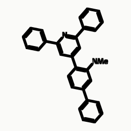 CNc1cc(-c2ccccc2)ccc1-c1cc(-c2ccccc2)nc(-c2ccccc2)c1